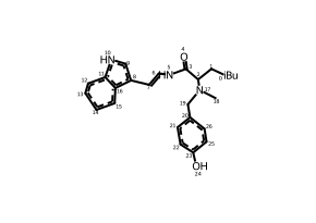 CCC(C)CC(C(=O)N/C=C/c1c[nH]c2ccccc12)N(C)Cc1ccc(O)cc1